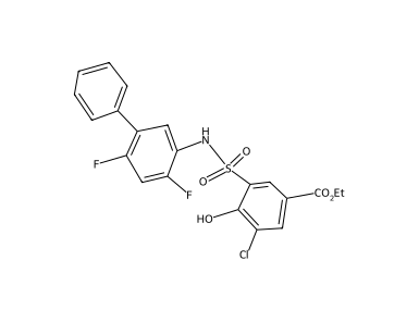 CCOC(=O)c1cc(Cl)c(O)c(S(=O)(=O)Nc2cc(-c3ccccc3)c(F)cc2F)c1